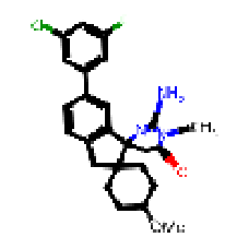 COC1CCC2(CC1)Cc1ccc(-c3cc(F)cc(Cl)c3)cc1C21CC(=O)N(C)C(N)=N1